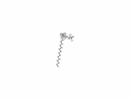 CCCCCCCCCCCCCCCCP(=O)([O-])OCC[N+](C)(C)C